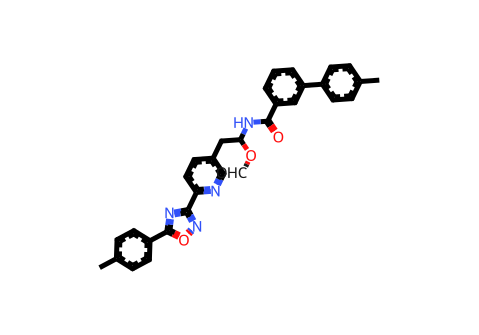 Cc1ccc(-c2cccc(C(=O)NC(Cc3ccc(-c4noc(-c5ccc(C)cc5)n4)nc3)OC=O)c2)cc1